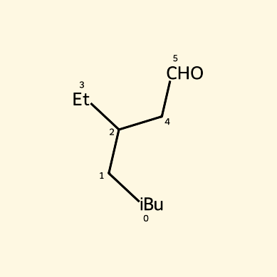 CCC(C)CC(CC)CC=O